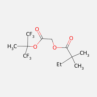 CCC(C)(C)C(=O)OCC(=O)OC(C)(C(F)(F)F)C(F)(F)F